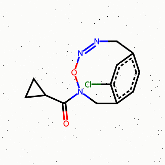 O=C(C1CC1)N1Cc2ccc(cc2Cl)CN=NO1